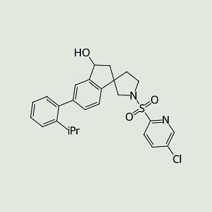 CC(C)c1ccccc1-c1ccc2c(c1)C(O)CC21CCN(S(=O)(=O)c2ccc(Cl)cn2)C1